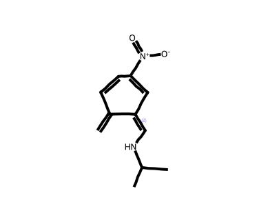 C=c1ccc([N+](=O)[O-])c/c1=C/NC(C)C